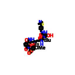 CCOc1cc([C@@H](CS(C)(=O)=O)N2C(=O)c3cccc(C(CCCCCCCC(=O)N[C@H](C(=O)N4C[C@H](O)C[C@H]4C(=O)NCc4ccc(-c5scnc5C)cc4)C(C)(C)C)C(N)=O)c3C2=O)ccc1OC